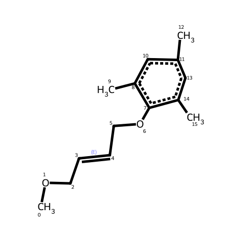 COC/C=C/COc1c(C)cc(C)cc1C